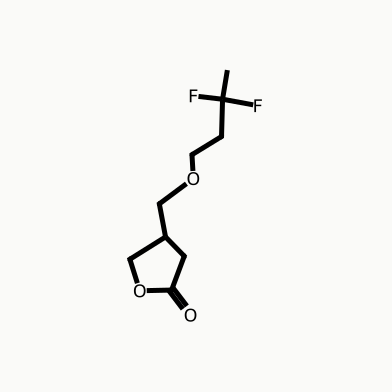 CC(F)(F)CCOCC1COC(=O)C1